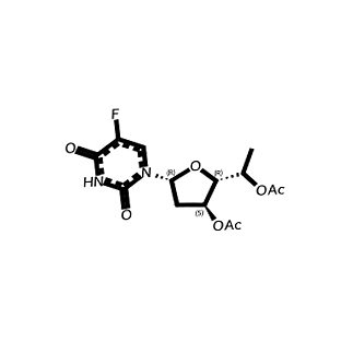 CC(=O)OC(C)[C@H]1O[C@@H](n2cc(F)c(=O)[nH]c2=O)C[C@@H]1OC(C)=O